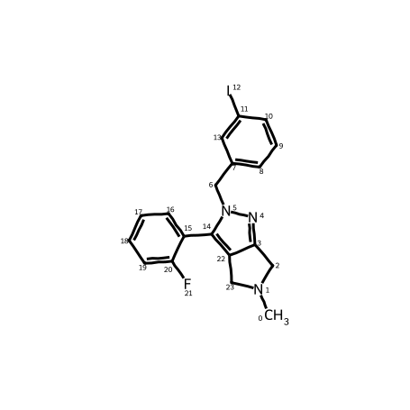 CN1Cc2nn(Cc3cccc(I)c3)c(-c3ccccc3F)c2C1